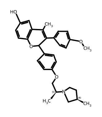 COc1ccc(C2=C(C)c3cc(O)ccc3OC2c2ccc(OC[C@H](C)N3CC[C@@H](C)C3)cc2)cc1